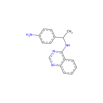 CC(Nc1ncnc2ccccc12)c1ccc(N)cc1